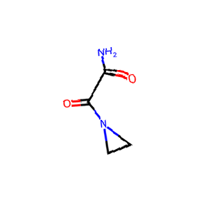 NC(=O)C(=O)N1CC1